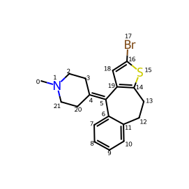 CN1CCC(=C2c3ccccc3CCc3sc(Br)cc32)CC1